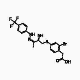 C/C(=N/Nc1ccc(C(F)(F)F)cc1)C(=N)CSc1ccc(CC(=O)O)c(Br)c1